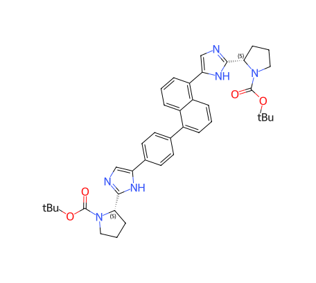 CC(C)(C)OC(=O)N1CCC[C@H]1c1ncc(-c2ccc(-c3cccc4c(-c5cnc([C@@H]6CCCN6C(=O)OC(C)(C)C)[nH]5)cccc34)cc2)[nH]1